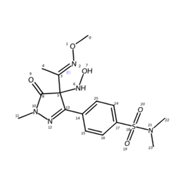 CO/N=C(\C)C1(NO)C(=O)N(C)N=C1c1ccc(S(=O)(=O)N(C)C)cc1